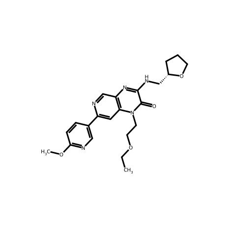 CCOCCn1c(=O)c(NC[C@@H]2CCCO2)nc2cnc(-c3ccc(OC)nc3)cc21